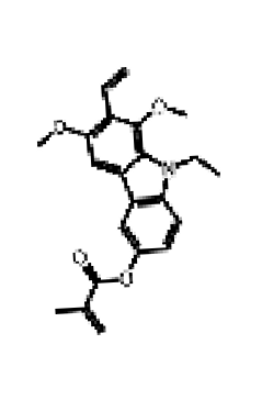 C=Cc1c(OC)cc2c3cc(OC(=O)C(=C)C)ccc3n(CC)c2c1OC